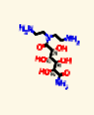 NCCN(CCN)C(=O)[C@H](O)[C@@H](O)[C@@H](O)[C@H](O)C(N)=O